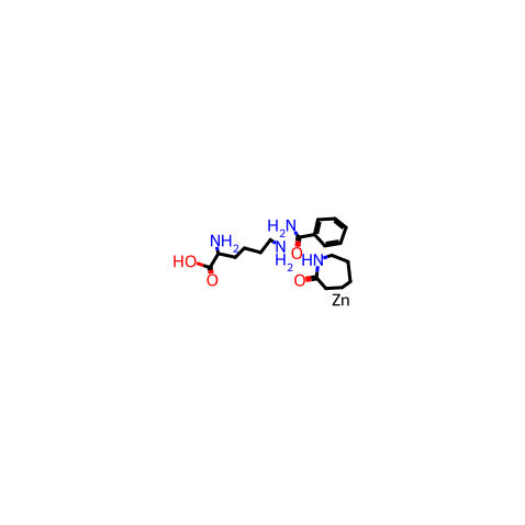 NC(=O)c1ccccc1.NCCCCC(N)C(=O)O.O=C1CCCCCN1.[Zn]